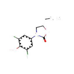 CC(=O)NC[C@H]1CN(c2cc(F)c(O)c(F)c2)C(=O)O1